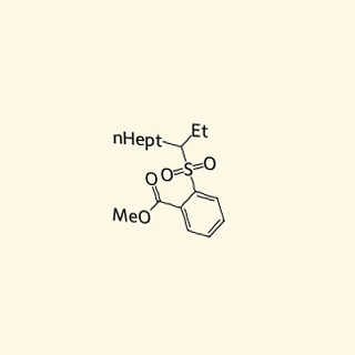 CCCCCCCC(CC)S(=O)(=O)c1ccccc1C(=O)OC